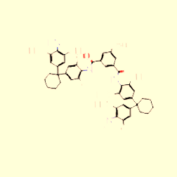 Cc1cc(C2(c3cc(C)c(NC(=O)c4cc(C(=O)Nc5c(C)cc(C6(c7cc(C)c(N)c(C)c7)CCCCC6)cc5C)cc(C(C)(C)C)c4)c(C)c3)CCCCC2)cc(C)c1N